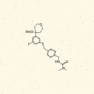 COC1(c2cc(F)cc(SCc3ccc(CNC(=O)N(C)C)cc3)c2)CCOCC1